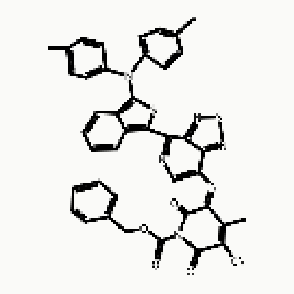 CC1=C(C#N)C(=O)N(C(=O)OCc2ccccc2)C(=O)/C1=N\c1cnc(-c2sc(N(c3ccc(C)cc3)c3ccc(C)cc3)c3ccccc23)c2nsnc12